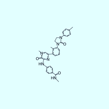 CNC(=O)c1ccc(Nc2nc(-c3cccc(N4CCN(c5ccc(C)cc5)C4=O)c3C)cn(C)c2=O)cc1